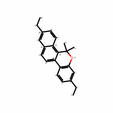 CCc1ccc2c(c1)OC(C)(C)c1c-2ccc2cc(CC)ccc12